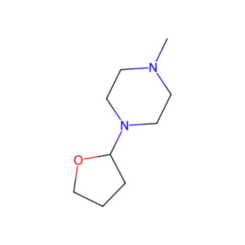 CN1CCN(C2CCCO2)CC1